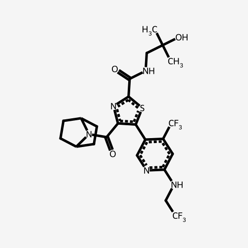 CC(C)(O)CNC(=O)c1nc(C(=O)N2C3CCC2CC3)c(-c2cnc(NCC(F)(F)F)cc2C(F)(F)F)s1